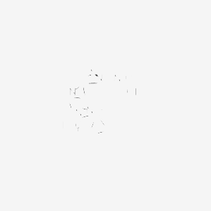 Cc1c(-c2c(Cl)cccc2Cl)nc2c3cc(-c4cnn(C5CCN(C(=O)CO)C5)c4)cnc3ccn12